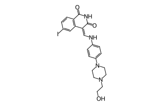 O=C1NC(=O)c2ccc(I)cc2C1=CNc1ccc(N2CCN(CCO)CC2)cc1